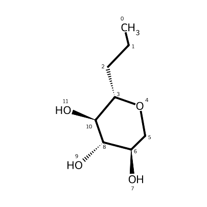 CCC[C@@H]1OC[C@@H](O)[C@H](O)[C@H]1O